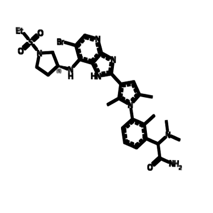 CCS(=O)(=O)N1CC[C@H](Nc2c(Br)cnc3nc(-c4cc(C)n(-c5cccc(C(C(N)=O)N(C)C)c5C)c4C)[nH]c23)C1